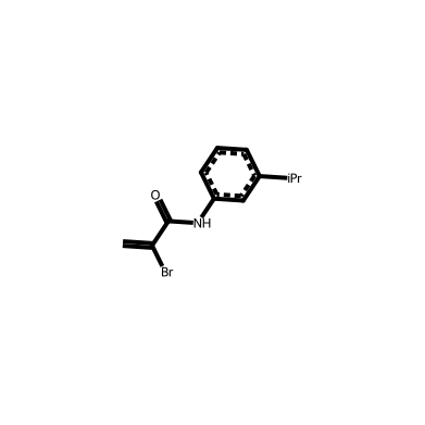 C=C(Br)C(=O)Nc1cccc(C(C)C)c1